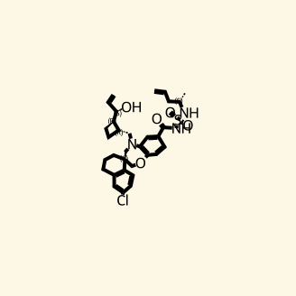 C=CC[C@H](C)NS(=O)(=O)NC(=O)c1ccc2c(c1)N(C[C@@H]1CC[C@H]1[C@@H](O)C=C)C[C@@]1(CCCc3cc(Cl)ccc31)CO2